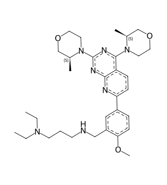 CCN(CC)CCCNCc1cc(-c2ccc3c(N4CCOC[C@@H]4C)nc(N4CCOC[C@@H]4C)nc3n2)ccc1OC